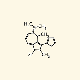 CC1=[C]([Zr])C2=CC=CC(=[Si](C)C)C(C)C2=C1C1=CC=CC1